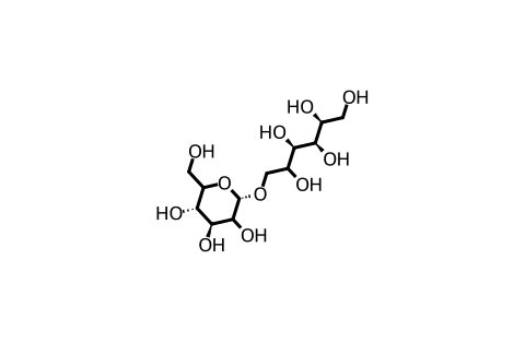 OCC1O[C@H](OCC(O)[C@@H](O)[C@H](O)[C@@H](O)CO)C(O)[C@@H](O)[C@@H]1O